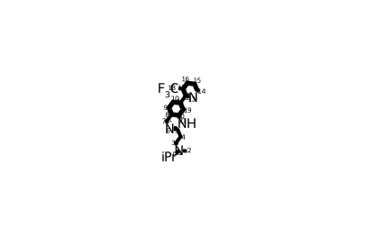 CC(C)N(C)CCC1=N[CH]c2ccc(-c3ncccc3C(F)(F)F)cc2N1